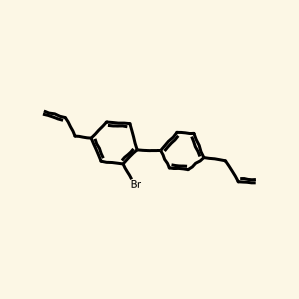 C=CCc1ccc(-c2ccc(CC=C)cc2Br)cc1